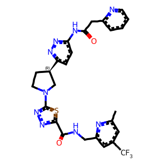 Cc1cc(C(F)(F)F)cc(CNC(=O)c2nnc(N3CC[C@@H](c4ccc(NC(=O)Cc5ccccn5)nn4)C3)s2)n1